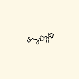 O=C(CCCc1cccs1)N1CCC(CNc2ccccn2)CC1